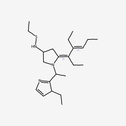 CC/C=C(CC)/C(CC)=C1\CC(NSCC)CN1C(C)C1=NC=CC1CC